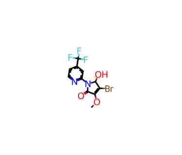 COC1=C(Br)C(O)N(c2cc(C(F)(F)F)ccn2)C1=O